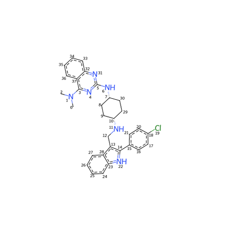 CN(C)c1nc(N[C@H]2CC[C@@H](NCc3c(-c4ccc(Cl)cc4)[nH]c4ccccc34)CC2)nc2ccccc12